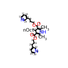 CCCCCCCCC1C(C(=O)OCCCc2cccnc2)=C(C)NC(C)=C1C(=O)OCCCc1cccnc1